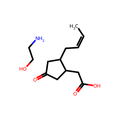 C/C=C\CC1CC(=O)CC1CC(=O)O.NCCO